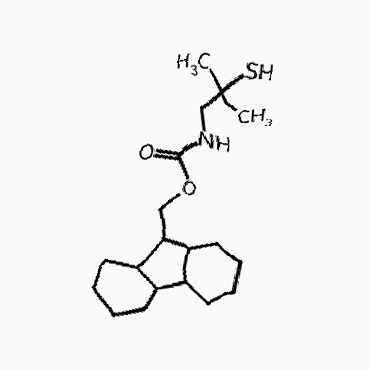 CC(C)(S)CNC(=O)OCC1C2CCCCC2C2CCCCC21